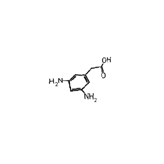 Nc1cc(N)cc(CC(=O)O)c1